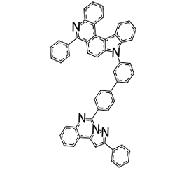 c1ccc(-c2cc3c4ccccc4nc(-c4ccc(-c5cccc(-n6c7ccccc7c7c8c(ccc76)c(-c6ccccc6)nc6ccccc68)c5)cc4)n3n2)cc1